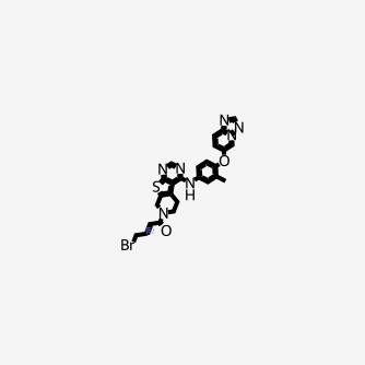 Cc1cc(Nc2ncnc3sc4c(c23)CCN(C(=O)/C=C/CBr)C4)ccc1Oc1ccc2ncnn2c1